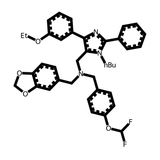 CCCCn1c(-c2ccccc2)nc(-c2cccc(OCC)c2)c1CN(Cc1ccc(OC(F)F)cc1)Cc1ccc2c(c1)OCO2